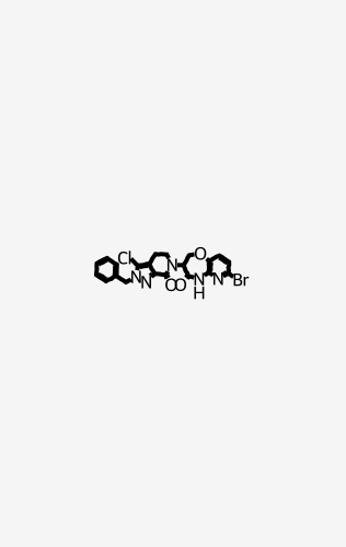 O=C1Nc2nc(Br)ccc2OCC1N1CCc2c(nn(Cc3ccccc3)c2Cl)C1=O